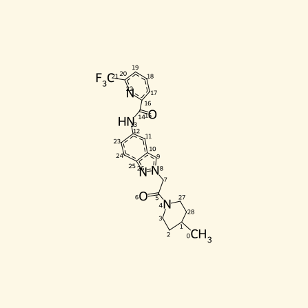 CC1CCN(C(=O)Cn2cc3cc(NC(=O)c4cccc(C(F)(F)F)n4)ccc3n2)CC1